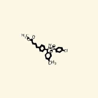 COC(=O)CCCc1ccc(C(NS(=O)(=O)c2ccc(Cl)cc2)C2CCC(C)CC2)cc1